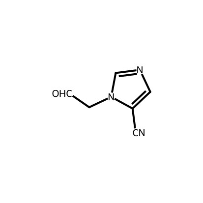 N#Cc1cncn1CC=O